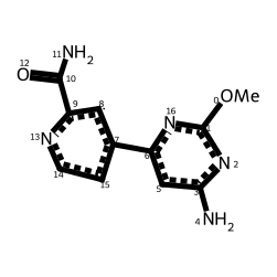 COc1nc(N)cc(-c2[c]c(C(N)=O)ncc2)n1